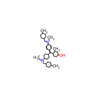 CCN(CC1CCC(C)CC1)C1CCC(C(=C2C=CC(=[N+](CC)CC3CCC(C)CC3)C=C2)C2CCC(O)CC2C)CC1